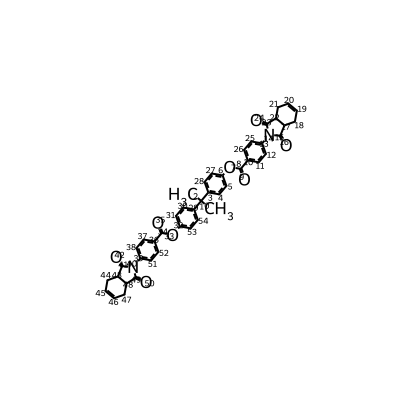 CC(C)(c1ccc(OC(=O)c2ccc(N3C(=O)C4CC=CCC4C3=O)cc2)cc1)c1ccc(OC(=O)c2ccc(N3C(=O)C4CC=CCC4C3=O)cc2)cc1